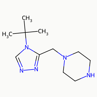 CC(C)(C)n1cnnc1CN1CCNCC1